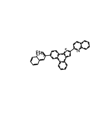 CC/C=C(\C=C1\C=CC=CC1C)c1ccc2c(c1)c1ccccc1c1cc(-c3ccc4ccccc4n3)sc21